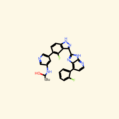 CC(C)(C)C(O)Nc1cncc(-c2ccc3[nH]nc(-c4nc5c(-c6ccccc6F)ccnc5[nH]4)c3c2F)c1